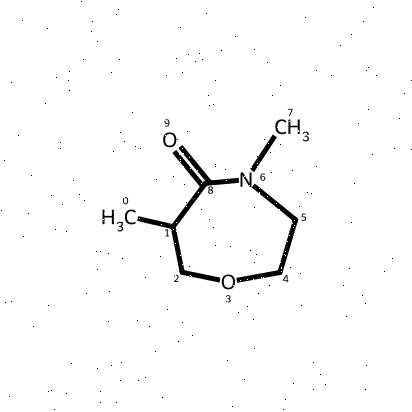 CC1COCCN(C)C1=O